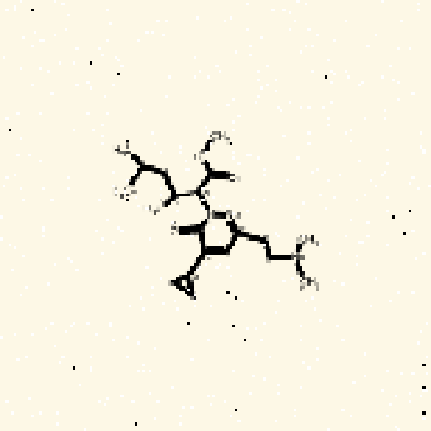 COC(=O)[C@H](C([SiH3])CC(C)C)n1nc(CCN(C)C)cc(C2CC2)c1=O